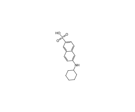 O=S(=O)(O)c1ccc2cc(NC3CCCCC3)ccc2c1